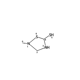 CN1CNC(S)S1